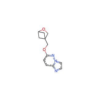 c1cn2nc(OCC34COC(C3)C4)ccc2n1